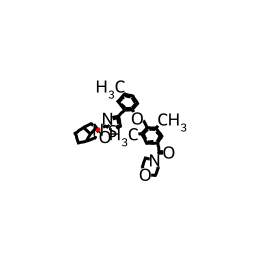 Cc1ccc(OCc2c(C)cc(C(=O)N3CCOCC3)cc2C)c(-c2csc(N3CC4CCC(C3)C4C=O)n2)c1